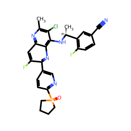 Cc1nc2cc(F)c(-c3ccc(P4(=O)CCCC4)nc3)nc2c(N[C@H](C)c2cc(C#N)ccc2F)c1Cl